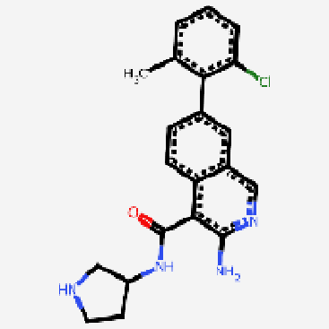 Cc1cccc(Cl)c1-c1ccc2c(C(=O)NC3CCNC3)c(N)ncc2c1